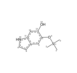 C[Si](C)(C)Oc1cc2cc[nH]c2cc1O